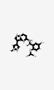 C[C@@H](Nc1ccn2ncc(-c3cnn(C)c3)c2n1)c1cc(F)ccc1OC(F)F